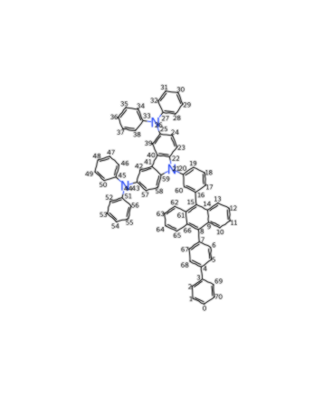 c1ccc(-c2ccc(-c3c4ccccc4c(-c4cccc(-n5c6ccc(N(c7ccccc7)c7ccccc7)cc6c6cc(N(c7ccccc7)c7ccccc7)ccc65)c4)c4ccccc34)cc2)cc1